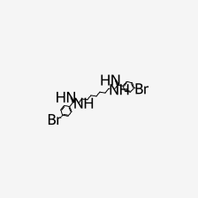 N=C(NCCCCCCCNC(=N)c1ccc(Br)cc1)c1ccc(Br)cc1